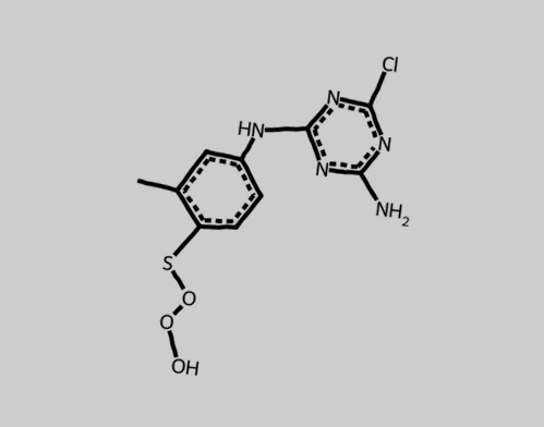 Cc1cc(Nc2nc(N)nc(Cl)n2)ccc1SOOO